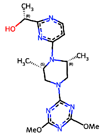 COc1nc(OC)nc(N2C[C@@H](C)N(c3ccnc([C@@H](C)O)n3)[C@@H](C)C2)n1